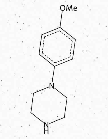 COc1ccc(N2[CH]CNCC2)cc1